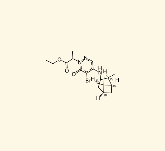 CCOC(=O)C(C)n1ncc(N[C@@H]2C[C@H]3C[C@H]([C@@H]2C)C3(C)C)c(Br)c1=O